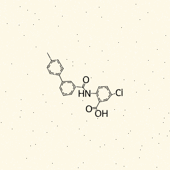 Cc1ccc(-c2cccc(C(=O)Nc3ccc(Cl)cc3C(=O)O)c2)cc1